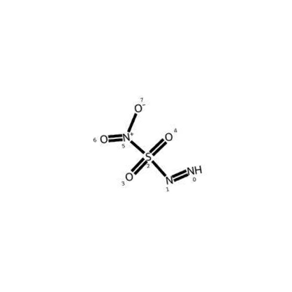 N=NS(=O)(=O)[N+](=O)[O-]